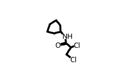 O=C(NC1CCCCC1)C(Cl)CCl